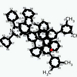 Cc1cc(C)cc(-c2ccc3c(c2)c2cc(-c4cc(C)cc(C)c4)ccc2n3-c2c(-c3ccccc3-n3c4ccccc4c4ccccc43)cc(-c3nc(-c4ccccc4)nc(-c4ccccc4)n3)cc2-c2ccccc2-n2c3ccccc3c3ccccc32)c1